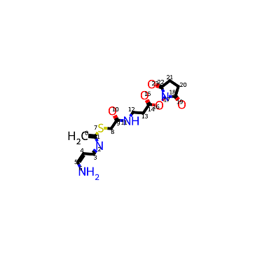 C=C(/N=C\C=C/N)SCC(=O)NCCC(=O)ON1C(=O)CCC1=O